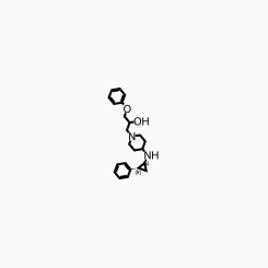 OC(COc1ccccc1)CN1CCC(N[C@H]2C[C@@H]2c2ccccc2)CC1